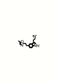 Cc1cnc(CCc2ccc3[nH]cc(CCN(C)C)c3c2)o1